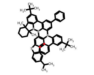 CC(C)c1ccc2sc3cc4c(cc3c2c1)N(c1ccc(C(C)(C)C)cc1-c1ccccc1)c1cc(-c2ccccc2)cc2c1B4N1c3c-2cc(C(C)(C)C)cc3C2(C)CCCCC12C